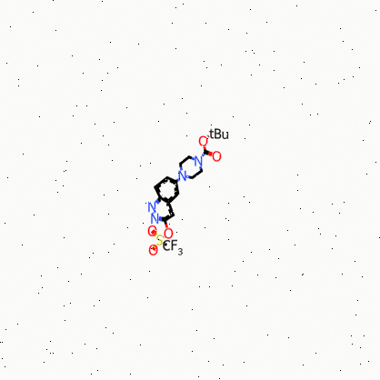 CC(C)(C)OC(=O)N1CCN(c2ccc3nnc(OS(=O)(=O)C(F)(F)F)cc3c2)CC1